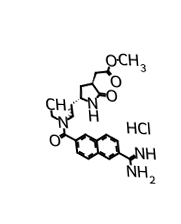 CCN(CC[C@@H]1C[C@@H](CC(=O)OC)C(=O)N1)C(=O)c1ccc2cc(C(=N)N)ccc2c1.Cl